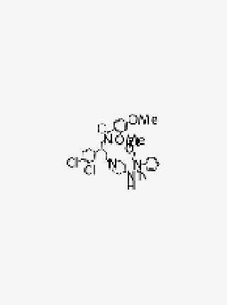 CCOCCn1c(NC2CCN(CCC(CN(C)C(=O)c3ccc(OC)cc3OC)c3ccc(Cl)c(Cl)c3)CC2)nc2ccccc21